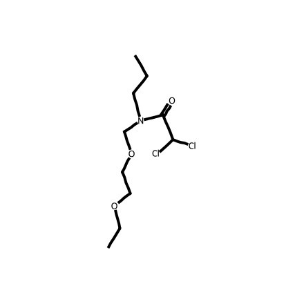 CCCN(COCCOCC)C(=O)C(Cl)Cl